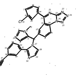 Cn1cncc1C(c1ccc2c(c1)c(-c1cccc(Cl)c1)nc1nnnn12)n1ccnc1-c1cccc(C#N)c1